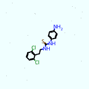 Nc1ccc(NC(=S)NCCc2c(Cl)cccc2Cl)cc1